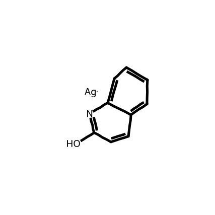 Oc1ccc2ccccc2n1.[Ag]